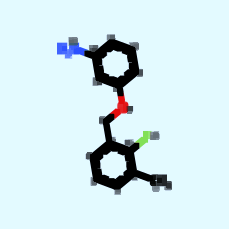 Cc1cccc(COc2cccc(N)c2)c1F